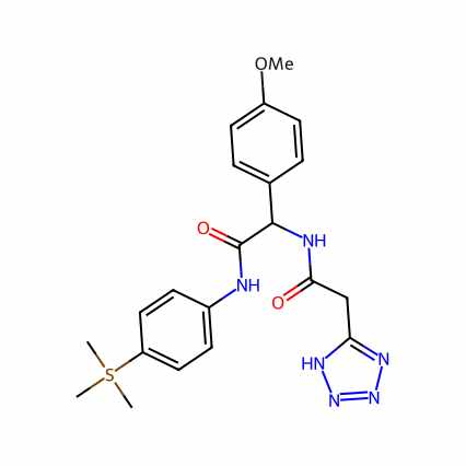 COc1ccc(C(NC(=O)Cc2nnn[nH]2)C(=O)Nc2ccc(S(C)(C)C)cc2)cc1